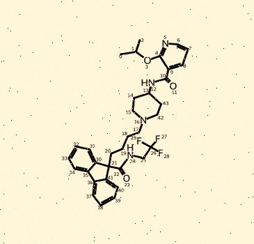 CC(C)Oc1ncccc1C(=O)NC1CCN(CCCCC2(C(=O)NCC(F)(F)F)c3ccccc3-c3ccccc32)CC1